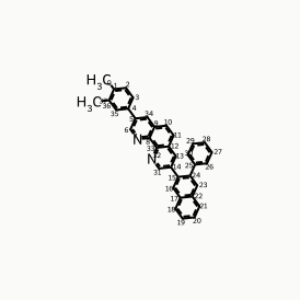 Cc1ccc(-c2cnc3c(ccc4cc(-c5cc6ccccc6cc5-c5ccccc5)cnc43)c2)cc1C